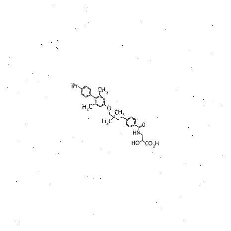 Cc1cc(OCC(C)(C)CCc2ccc(C(=O)NCC(O)C(=O)O)cc2)cc(C)c1-c1ccc(C(C)C)cc1